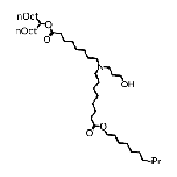 CCCCCCCCC(CCCCCCCC)OC(=O)CCCCCCCN(CCCO)CCCCCCCC(=O)OCCCCCCCC(C)C